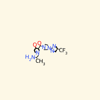 C[C@H](N)Cn1ccc(=O)c(C(=O)N2CCN(c3ncc(C(F)(F)F)cn3)CC2)c1